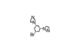 Brc1cc(-n2ccnc2)cc(-n2ccnc2)c1